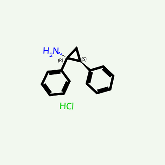 Cl.N[C@]1(c2ccccc2)C[C@H]1c1ccccc1